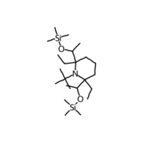 CCC1(C(C)O[Si](C)(C)C)CCCC(CC)(C(C)O[Si](C)(C)C)N1C(C)(C)C